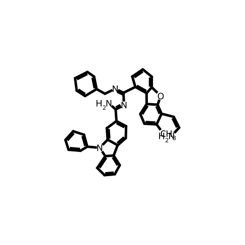 Cc1ccc2c(oc3cccc(C(/N=C(\N)c4ccc5c6ccccc6n(-c6ccccc6)c5c4)=N/Cc4ccccc4)c32)c1/C=C\N